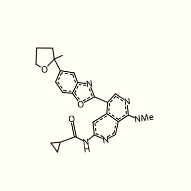 CNc1ncc(-c2nc3cc(C4(C)CCCO4)ccc3o2)c2cc(NC(=O)C3CC3)ncc12